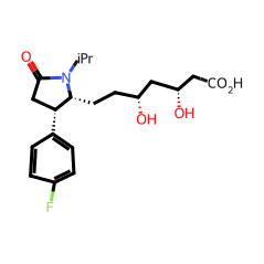 CC(C)N1C(=O)C[C@@H](c2ccc(F)cc2)[C@H]1CC[C@@H](O)C[C@@H](O)CC(=O)O